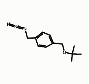 CC(C)(C)OCc1ccc(CN=[N+]=[N-])cc1